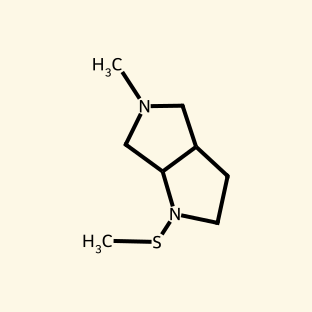 CSN1CCC2CN(C)CC21